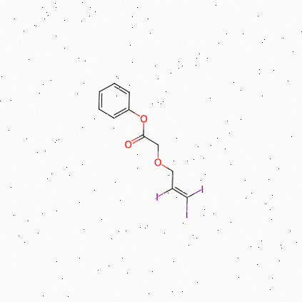 O=C(COCC(I)=C(I)I)Oc1ccccc1